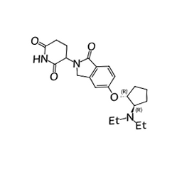 CCN(CC)[C@@H]1CCC[C@H]1Oc1ccc2c(c1)CN(C1CCC(=O)NC1=O)C2=O